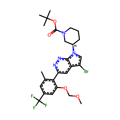 COCOc1cc(C(F)(F)F)cc(C)c1-c1cc2c(Br)cn([C@@H]3CCCN(C(=O)OC(C)(C)C)C3)c2nn1